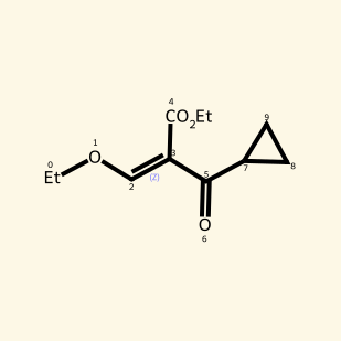 CCO/C=C(\C(=O)OCC)C(=O)C1CC1